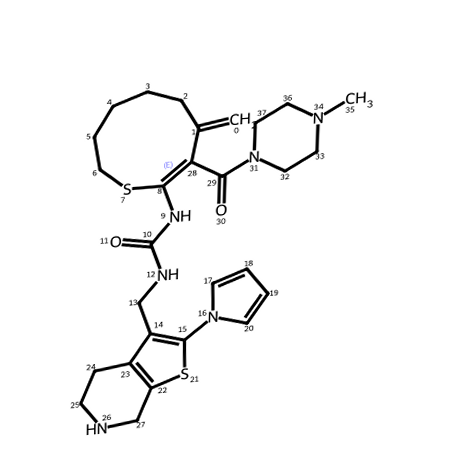 C=C1CCCCCS/C(NC(=O)NCc2c(-n3cccc3)sc3c2CCNC3)=C\1C(=O)N1CCN(C)CC1